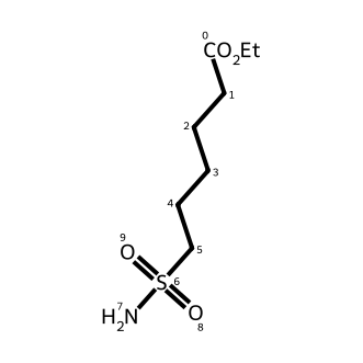 CCOC(=O)CCCCCS(N)(=O)=O